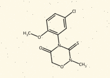 COc1ccc(Cl)cc1N1C(=O)CON(C)C1=S